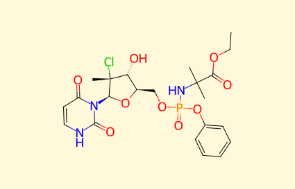 CCOC(=O)C(C)(C)NP(=O)(OC[C@H]1O[C@@H](n2c(=O)cc[nH]c2=O)[C@](C)(Cl)[C@@H]1O)Oc1ccccc1